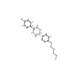 CCCCCCc1ccc([C@H]2CO[C@H](c3ccc(C)cc3)CO2)cc1